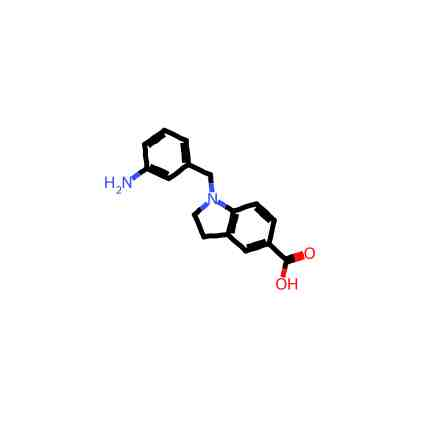 Nc1cccc(CN2CCc3cc(C(=O)O)ccc32)c1